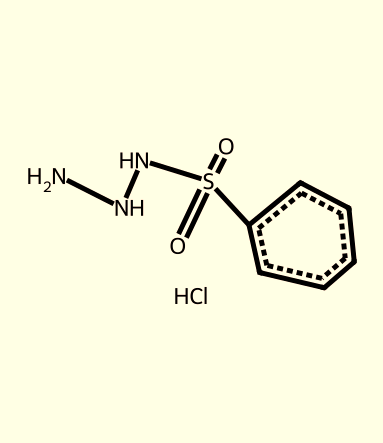 Cl.NNNS(=O)(=O)c1ccccc1